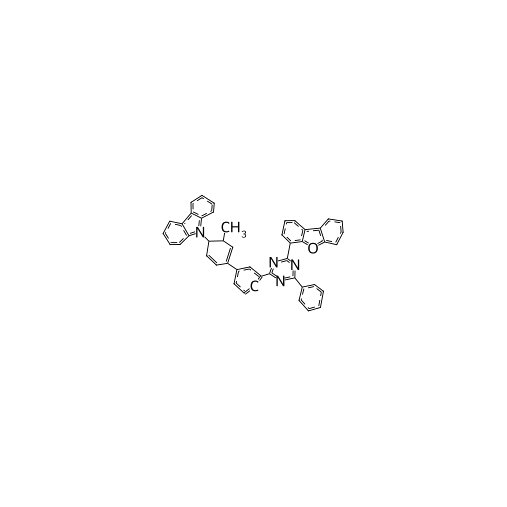 CC1C=C(c2cccc(-c3nc(-c4ccccc4)nc(-c4cccc5c4oc4ccccc45)n3)c2)C=CC1n1c2ccccc2c2ccccc21